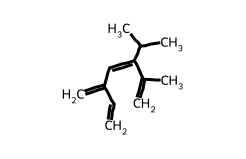 C=CC(=C)/C=C(\C(=C)C)C(C)C